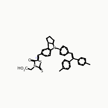 Cc1ccc(C(=Cc2ccc(N3c4ccc(/C=C5\SC(=S)N(CC(=O)O)C5=O)cc4C4CCCC43)cc2)c2ccc(C)cc2)cc1